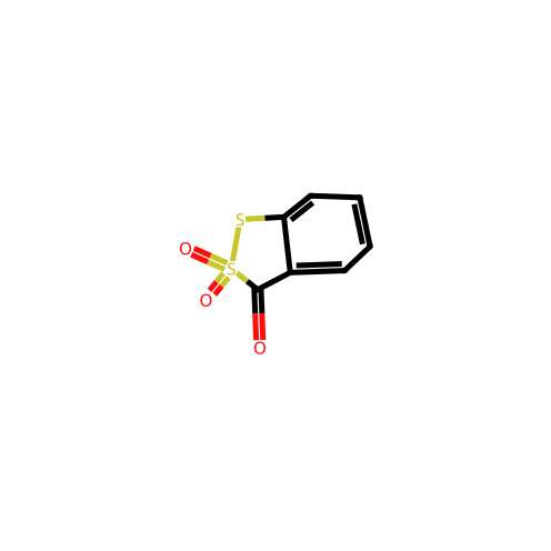 O=C1c2ccccc2SS1(=O)=O